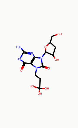 Nc1nc2c(c(=O)[nH]1)n(CCC(O)(O)O)c(=O)n2C1OC(CO)CC1O